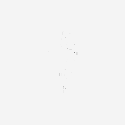 Cc1cc(S(=O)(=O)NC2(C)CCNCC2)ccc1Nc1ncc(C(F)(F)F)c(N2CCC[C@](C)(O)C2)n1